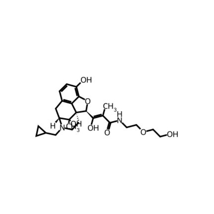 C/C(C(=O)NCCOCCO)=C(/O)[C@@H]1Oc2c(O)ccc3c2[C@@]12CCN(CC1CC1)[C@H](C3)[C@@]2(C)O